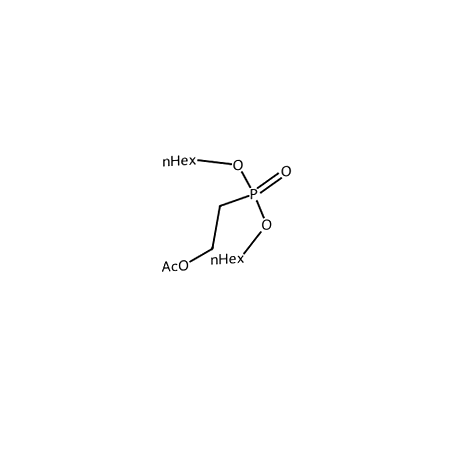 CCCCCCOP(=O)(CCOC(C)=O)OCCCCCC